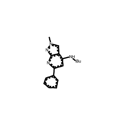 CCC(C)Nc1cc(-c2ccccc2)nc2nn(C)cc12